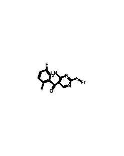 CCSc1ncc(C(=O)c2cc(F)ccc2C)c(N)n1